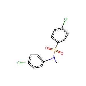 CN(c1ccc(Cl)cc1)S(=O)(=O)c1ccc(Cl)cc1